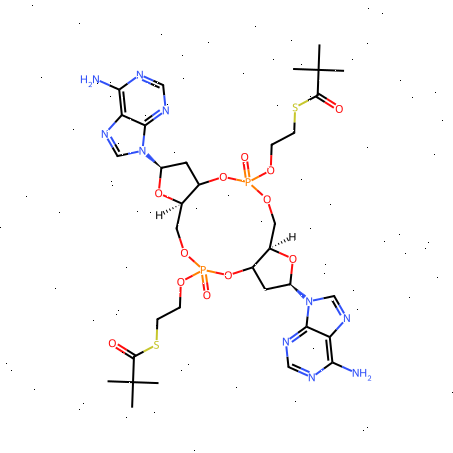 CC(C)(C)C(=O)SCCOP1(=O)OC[C@H]2O[C@@H](n3cnc4c(N)ncnc43)CC2OP(=O)(OCCSC(=O)C(C)(C)C)OC[C@H]2O[C@@H](n3cnc4c(N)ncnc43)CC2O1